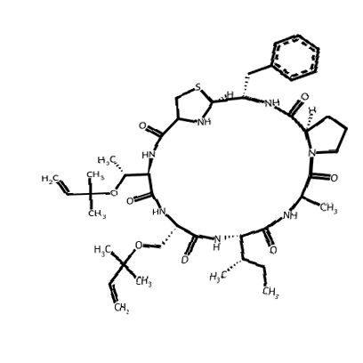 C=CC(C)(C)OC[C@@H]1NC(=O)[C@@H]([C@@H](C)OC(C)(C)C=C)NC(=O)C2CS[C@H](N2)[C@H](Cc2ccccc2)NC(=O)[C@H]2CCCN2C(=O)C(C)NC(=O)[C@H]([C@@H](C)CC)NC1=O